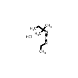 CCN=C=NC(C)(C)CC.Cl